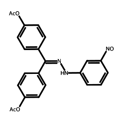 CC(=O)Oc1ccc(C(=NNc2cccc(N=O)c2)c2ccc(OC(C)=O)cc2)cc1